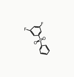 O=S(=O)(c1ccccc1)c1cc(F)cc(F)c1